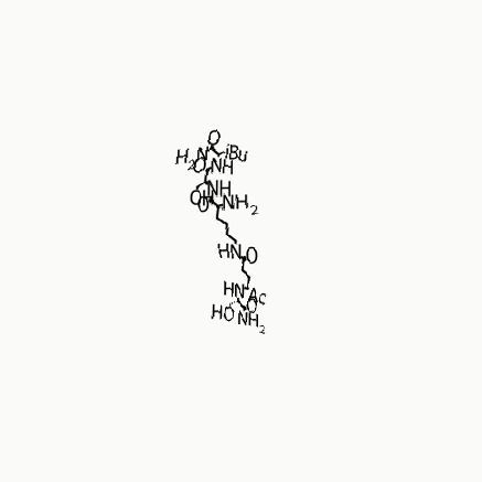 CC[C@H](C)[C@H](NC(=O)[C@H](CO)NC(=O)C(N)CCCCNC(=O)CCC(N[C@@H](CO)C(N)=O)C(C)=O)C(N)=O